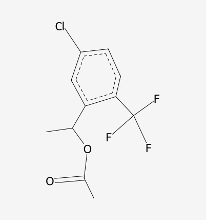 CC(=O)OC(C)c1cc(Cl)ccc1C(F)(F)F